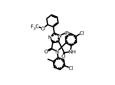 Cc1ccc(Cl)cc1N1C(=O)c2nc(C3=CC=CCC3OC(F)(F)F)n(C(C)C)c2C12C(=O)Nc1cc(Cl)ccc12